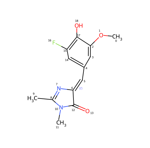 COc1cc(/C=C2\N=C(C)N(C)C2=O)cc(F)c1O